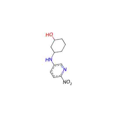 O=[N+]([O-])c1ccc(NC2CCCC(O)C2)cn1